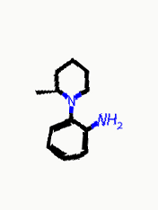 C[C@H]1CCCCN1c1ccccc1N